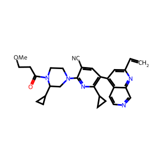 C=Cc1cc(-c2cc(C#N)c(N3CCN(C(=O)CCOC)C(C4CC4)C3)nc2C2CC2)c2ccncc2n1